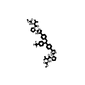 COC(=O)N[C@H](C(=O)N1CCC[C@H]1c1ncc(-c2ccc(CC(c3ccc(-c4cnc([C@@H]5CCCN5C(=O)[C@@H](NC(=O)OC)C(C)C)[nH]4)cc3)c3ccc(C(F)(F)F)cc3)cc2)[nH]1)C(C)C